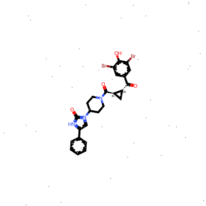 O=C(c1cc(Br)c(O)c(Br)c1)[C@@H]1C[C@H]1C(=O)N1CCC(n2cc(-c3ccccc3)[nH]c2=O)CC1